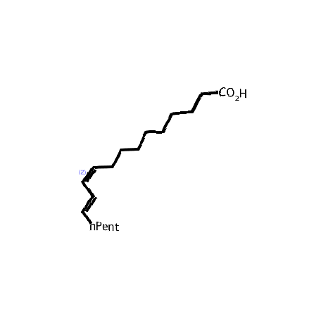 CCCCCC=C/C=C\CCCCCCCCC(=O)O